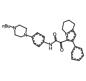 CCCCN1CCN(c2ccc(NC(=O)C(=O)c3c(-c4ccccc4)cc4n3CCCC4)cc2)CC1